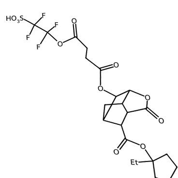 CCC1(OC(=O)C2C3CC4C(OC(=O)C42)C3OC(=O)CCC(=O)OC(F)(F)C(F)(F)S(=O)(=O)O)CCCC1